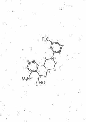 O=CC(CN1CCN(c2cccc(C(F)(F)F)c2)CC1)c1ccccc1[N+](=O)[O-]